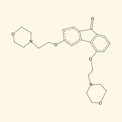 O=C1c2ccc(OCCN3CCOCC3)cc2-c2c(OCCN3CCOCC3)cccc21